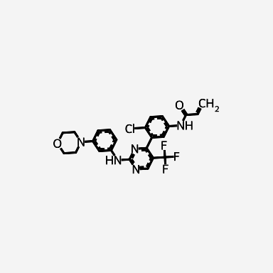 C=CC(=O)Nc1ccc(Cl)c(-c2nc(Nc3cccc(N4CCOCC4)c3)ncc2C(F)(F)F)c1